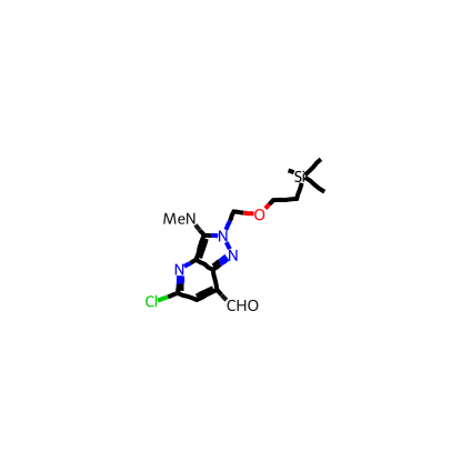 CNc1c2nc(Cl)cc(C=O)c2nn1COCC[Si](C)(C)C